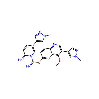 COc1c(-c2cnn(C)c2)cnc2ccc(SC(=N)n3cc(-c4cnn(C)c4)ccc3=N)cc12